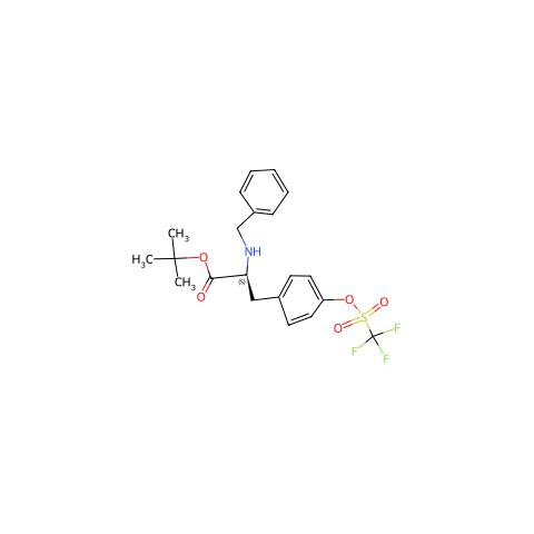 CC(C)(C)OC(=O)[C@H](Cc1ccc(OS(=O)(=O)C(F)(F)F)cc1)NCc1ccccc1